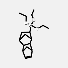 CCO[Si](OCC)(OCC)C1CC2CC1C1C3C=CC(C3)C21